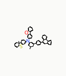 CC1C=C(N(c2ccc3c(c2)SC2C=CC=CC32C)c2ccc3c(c2)oc2ccccc23)C=C(c2ccc(-c3cc4ccccc4c4ccccc34)cc2)C1